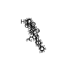 CC(C)CC(CC(=O)N1CCN(c2ccccc2)CC1)C(=O)N1CCC2C1C(=O)CN2S(=O)(=O)c1ccc[nH]c1=O